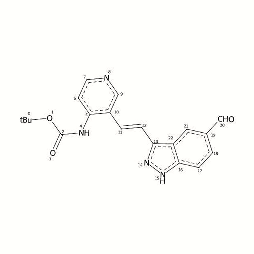 CC(C)(C)OC(=O)Nc1ccncc1C=Cc1n[nH]c2ccc(C=O)cc12